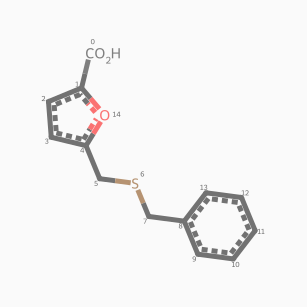 O=C(O)c1ccc(CSCc2ccccc2)o1